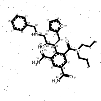 CCCN(CCC)C(=O)c1cc(C(N)=O)cc(C(N)=O)c1[C@H](Cc1ccco1)[C@@H](O)CNCc1ccccc1